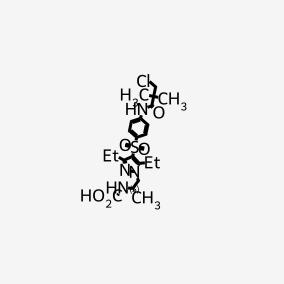 CCc1nn(C[C@H](C)NC(=O)O)c(CC)c1S(=O)(=O)c1ccc(NC(=O)C(C)(C)CCl)cc1